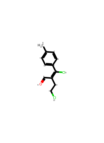 Cc1ccc(C(Cl)=C(C=O)CCCl)cc1